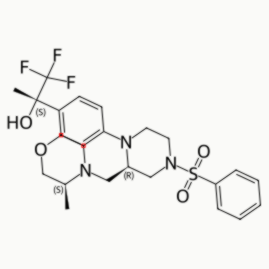 C[C@H]1COCCN1C[C@@H]1CN(S(=O)(=O)c2ccccc2)CCN1c1ccc([C@](C)(O)C(F)(F)F)cc1